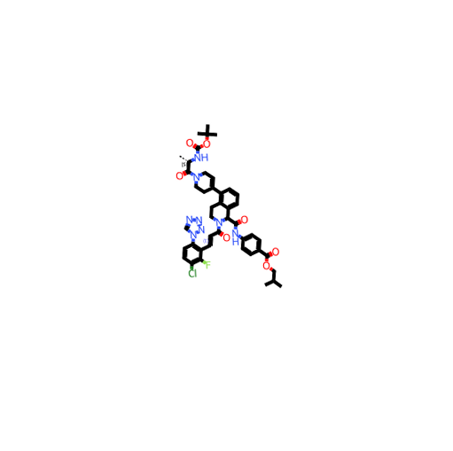 CC(C)COC(=O)c1ccc(NC(=O)C2c3cccc(C4=CCN(C(=O)[C@H](C)NC(=O)OC(C)(C)C)CC4)c3CCN2C(=O)/C=C/c2c(-n3cnnn3)ccc(Cl)c2F)cc1